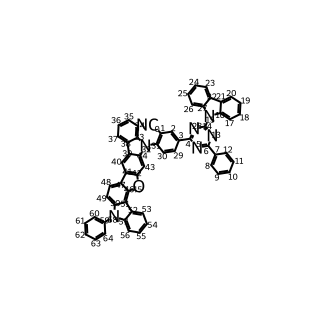 N#Cc1cc(-c2nc(-c3ccccc3)nc(-n3c4ccccc4c4ccccc43)n2)ccc1-n1c2ccccc2c2cc3c(cc21)oc1c3ccc2c1c1ccccc1n2-c1ccccc1